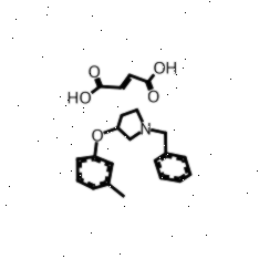 Cc1cccc(OC2CCN(Cc3ccccc3)C2)c1.O=C(O)C=CC(=O)O